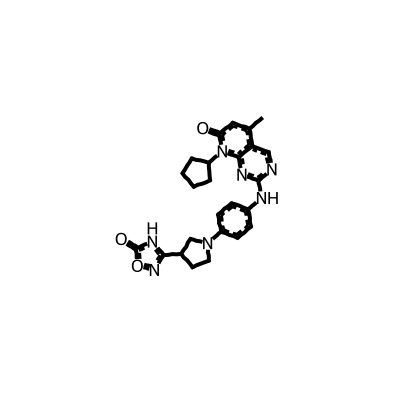 Cc1cc(=O)n(C2CCCC2)c2nc(Nc3ccc(N4CCC(c5noc(=O)[nH]5)C4)cc3)ncc12